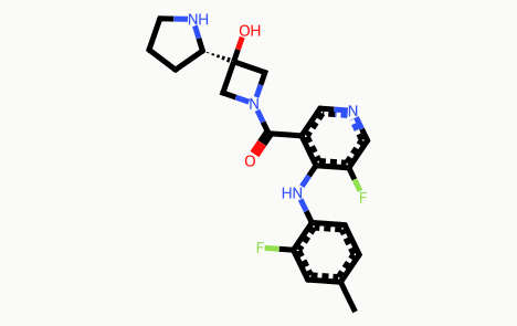 Cc1ccc(Nc2c(F)cncc2C(=O)N2CC(O)([C@@H]3CCCN3)C2)c(F)c1